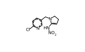 O=[N+]([O-])NC1=CCCN1Cc1ccc(Cl)nc1